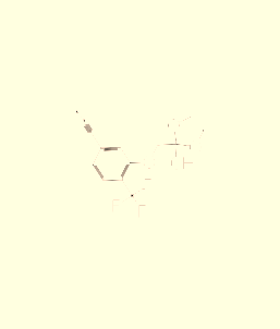 CC1(COc2cc(C#N)ccc2C(F)(F)F)OCCO1